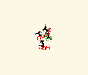 C=C(C)C(=O)OC.C=C(C)C(=O)OCC(F)(F)F.C=CC(=O)O